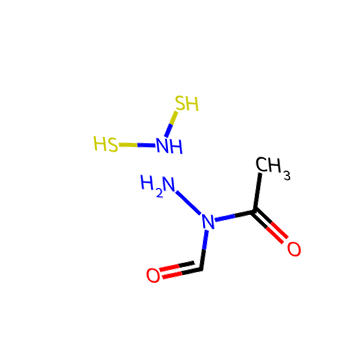 CC(=O)N(N)C=O.SNS